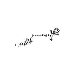 COc1cc2c(Nc3ccc(Oc4cccc(N)c4)cc3)c(C#N)cnc2cc1OCCCN(C)CCCCCCCCCOCCOCCOc1cc(-c2scnc2C)ccc1CNC(=O)[C@@H]1C[C@@H](O)CC1C(=O)[C@H](C(C)C)N1Cc2ccccc2C1=O